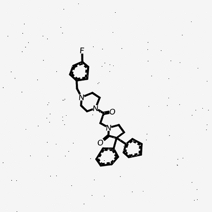 O=C(CN1CCC(c2ccccc2)(c2ccccc2)C1=O)N1CCN(Cc2ccc(F)cc2)CC1